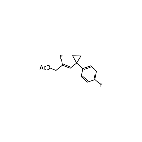 CC(=O)OC/C(F)=C/C1(c2ccc(F)cc2)CC1